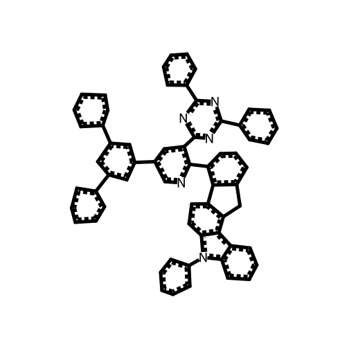 c1ccc(-c2cc(-c3ccccc3)cc(-c3cnc(-c4cccc5c4-c4ccc6c(c4C5)c4ccccc4n6-c4ccccc4)c(-c4nc(-c5ccccc5)nc(-c5ccccc5)n4)c3)c2)cc1